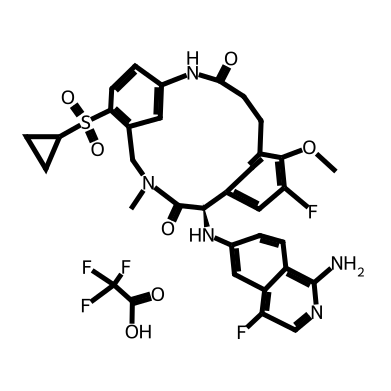 COc1c(F)cc2cc1CCC(=O)Nc1ccc(S(=O)(=O)C3CC3)c(c1)CN(C)C(=O)[C@@H]2Nc1ccc2c(N)ncc(F)c2c1.O=C(O)C(F)(F)F